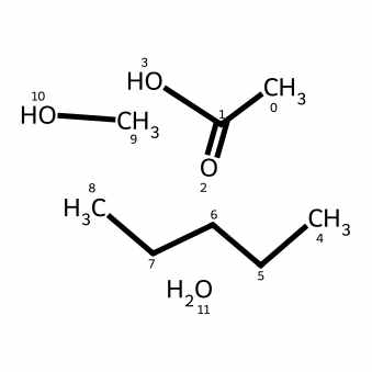 CC(=O)O.CCCCC.CO.O